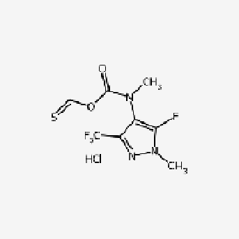 CN(C(=O)OC=S)c1c(C(F)(F)F)nn(C)c1F.Cl